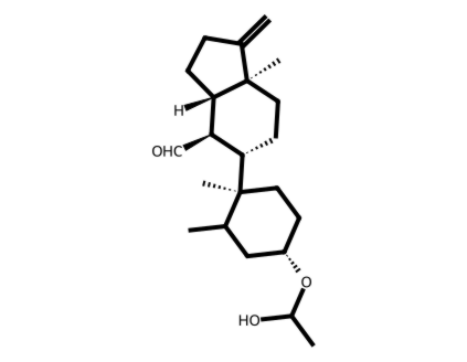 C=C1CC[C@H]2[C@H](C=O)[C@@H]([C@@]3(C)CC[C@H](OC(C)O)CC3C)CC[C@]12C